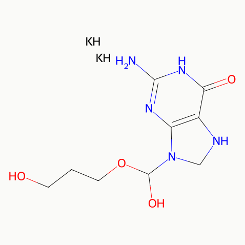 Nc1nc2c(c(=O)[nH]1)NCN2C(O)OCCCO.[KH].[KH]